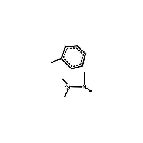 CN(C)[Si](C)C.Cc1ccccc1